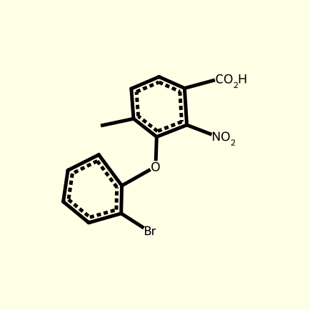 Cc1ccc(C(=O)O)c([N+](=O)[O-])c1Oc1ccccc1Br